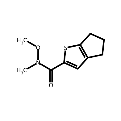 CON(C)C(=O)c1cc2c(s1)CCC2